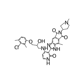 Cc1ccc(OCC(O)CNc2cc[nH]c(=O)c2-c2nc3cc4c(c(C)c3[nH]2)C(=O)N(C2CCN(C)CC2)C4=O)c(C)c1Cl